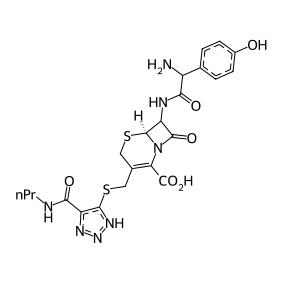 CCCNC(=O)c1nn[nH]c1SCC1=C(C(=O)O)N2C(=O)C(NC(=O)C(N)c3ccc(O)cc3)[C@@H]2SC1